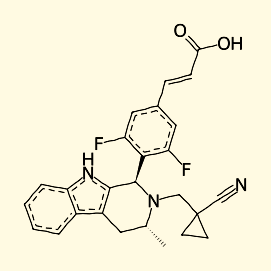 C[C@@H]1Cc2c([nH]c3ccccc23)[C@@H](c2c(F)cc(/C=C/C(=O)O)cc2F)N1CC1(C#N)CC1